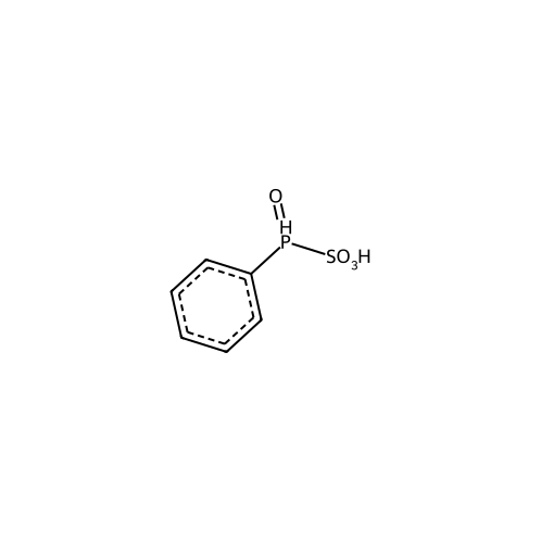 O=[PH](c1ccccc1)S(=O)(=O)O